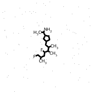 CC(CF)CC(F)C(C)C(C)CC1CCC(C(C)N)C1